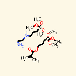 C=C(C)C(=O)OCCC[Si](OC)(OC)OC.CO[Si](CCCNCCN)(OC)OC